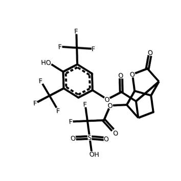 O=C1OC2C3CC(C2OC(=O)C(F)(F)S(=O)(=O)O)C(C(=O)Oc2cc(C(F)(F)F)c(O)c(C(F)(F)F)c2)C13